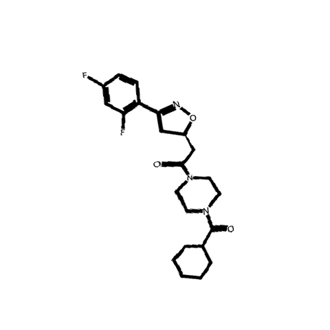 O=C(C[C@H]1CC(c2ccc(F)cc2F)=NO1)N1CCN(C(=O)C2CCCCC2)CC1